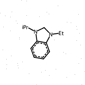 CCN1CN(C(C)C)c2ccccc21